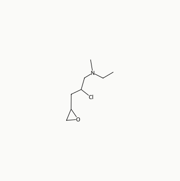 CCN(C)CC(Cl)CC1CO1